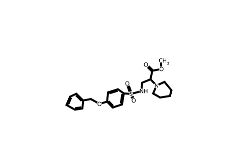 COC(=O)C(CNS(=O)(=O)c1ccc(OCc2ccccc2)cc1)N1CCCCC1